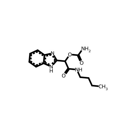 CCCCNC(=O)C(OC(N)=O)c1nc2ccccc2[nH]1